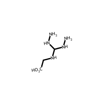 NNC(NN)NCC(=O)O